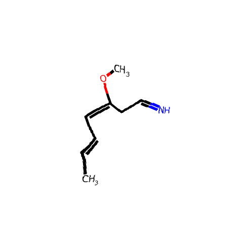 C/C=C/C=C(\CC=N)OC